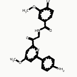 COc1cc(C(=O)CNC(=O)c2ccc(OC)c(OC)c2)nc(-c2ccc(N)cc2)c1